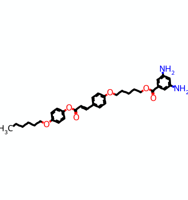 CCCCCCOc1ccc(OC(=O)/C=C/c2ccc(OCCCCCOC(=O)c3cc(N)cc(N)c3)cc2)cc1